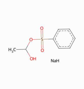 CC(O)OS(=O)(=O)c1ccccc1.[NaH]